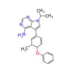 CC1C=C(c2cn(C(C)C)c3ncnc(N)c23)C=CC1Oc1ccccc1